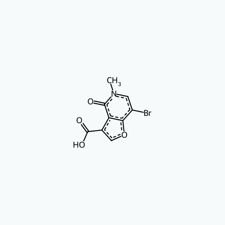 Cn1cc(Br)c2occ(C(=O)O)c2c1=O